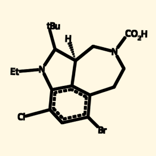 CCN1c2c(Cl)cc(Br)c3c2[C@H](CN(C(=O)O)CC3)C1C(C)(C)C